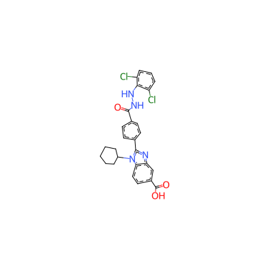 O=C(O)c1ccc2c(c1)nc(-c1ccc(C(=O)NNc3c(Cl)cccc3Cl)cc1)n2C1CCCCC1